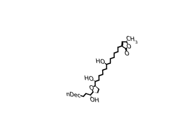 CCCCCCCCCCCC[C@@H](O)[C@H]1CC[C@H]([C@H](O)CCCCCC(O)CCCCCCC2=C[C@H](C)OC2=O)O1